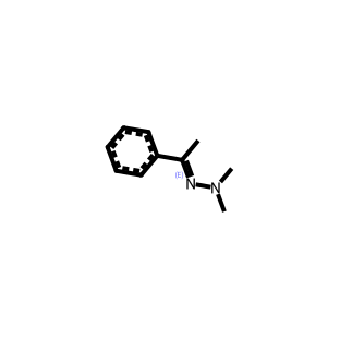 C/C(=N\N(C)C)c1ccccc1